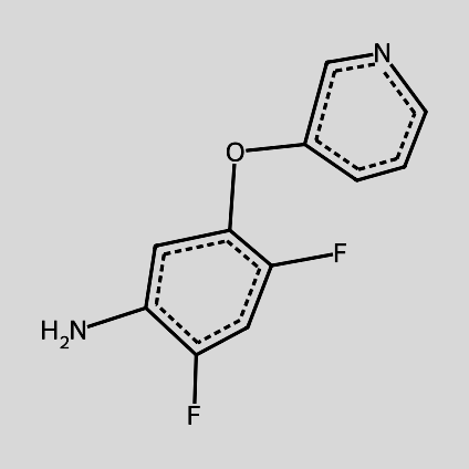 Nc1cc(Oc2cccnc2)c(F)cc1F